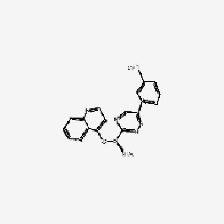 COc1cccc(-c2cnc(N(NC(C)=O)Oc3ccnc4ccccc34)nn2)c1